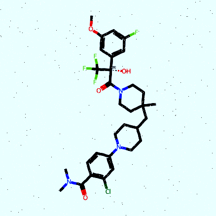 COc1cc(F)cc([C@@](O)(C(=O)N2CCC(C)(CC3CCN(c4ccc(C(=O)N(C)C)c(Cl)c4)CC3)CC2)C(F)(F)F)c1